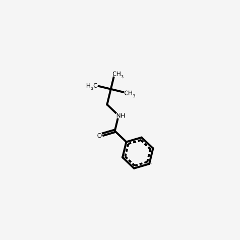 CC(C)(C)CNC(=O)c1cc[c]cc1